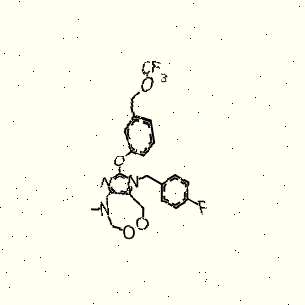 CN1COOCc2c1nc(Oc1cccc(COC(F)(F)F)c1)n2Cc1ccc(F)cc1